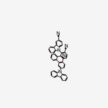 N#Cc1ccc2c(c1)c1ccccc1n2-c1c(C#N)cccc1-c1ccccc1-c1cc(-n2c3ccccc3c3ccccc32)ccc1C#N